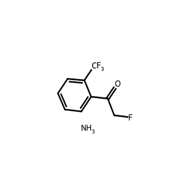 N.O=C(CF)c1ccccc1C(F)(F)F